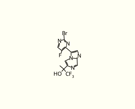 CC(O)(c1cn2c(-c3nc(Br)ncc3F)cnc2cn1)C(F)(F)F